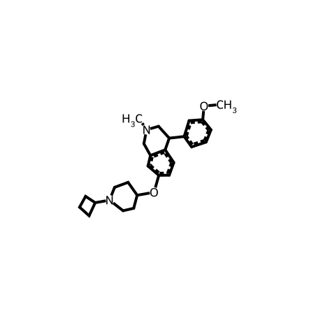 COc1cccc(C2CN(C)Cc3cc(OC4CCN(C5CCC5)CC4)ccc32)c1